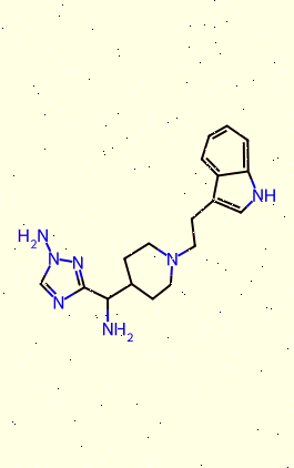 NC(c1ncn(N)n1)C1CCN(CCc2c[nH]c3ccccc23)CC1